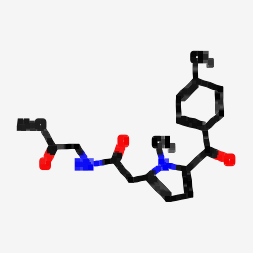 COC(=O)CNC(=O)Cc1ccc(C(=O)c2ccc(C)cc2)n1C